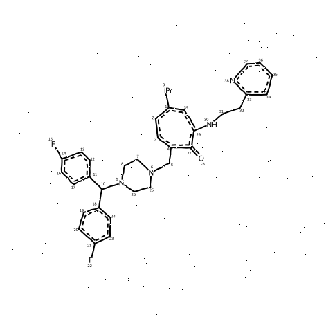 CC(C)c1ccc(CN2CCN(C(c3ccc(F)cc3)c3ccc(F)cc3)CC2)c(=O)c(NCCc2ccccn2)c1